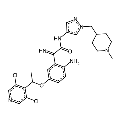 CC(Oc1ccc(N)c(C(=N)C(=O)Nc2cnn(CC3CCN(C)CC3)c2)c1)c1c(Cl)cncc1Cl